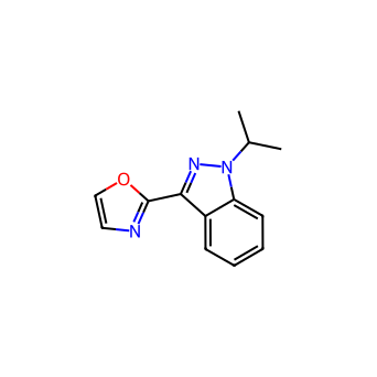 CC(C)n1nc(-c2ncco2)c2ccccc21